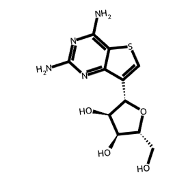 Nc1nc(N)c2scc([C@@H]3O[C@H](CO)[C@@H](O)[C@H]3O)c2n1